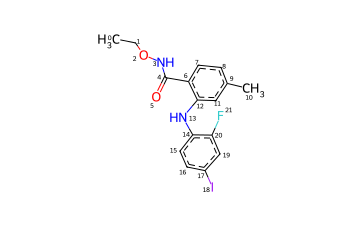 CCONC(=O)c1ccc(C)cc1Nc1ccc(I)cc1F